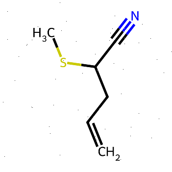 C=CCC(C#N)SC